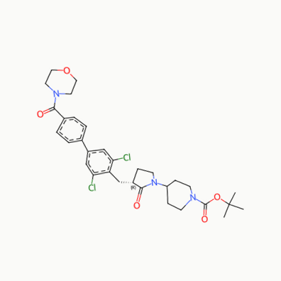 CC(C)(C)OC(=O)N1CCC(N2CC[C@@H](Cc3c(Cl)cc(-c4ccc(C(=O)N5CCOCC5)cc4)cc3Cl)C2=O)CC1